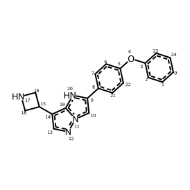 c1ccc(Oc2ccc(-c3cn4ncc(C5CNC5)c4[nH]3)cc2)cc1